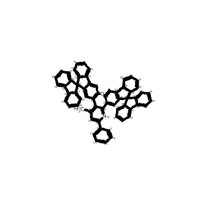 Cc1cc2c(cc1-c1c(C)cc(-c3ccccc3)nc1-c1ccc3c(c1)C1(c4ccccc4-c4ccccc41)C1C=CC=CC31)C1(c3ccccc3-c3ccccc31)c1ccccc1-2